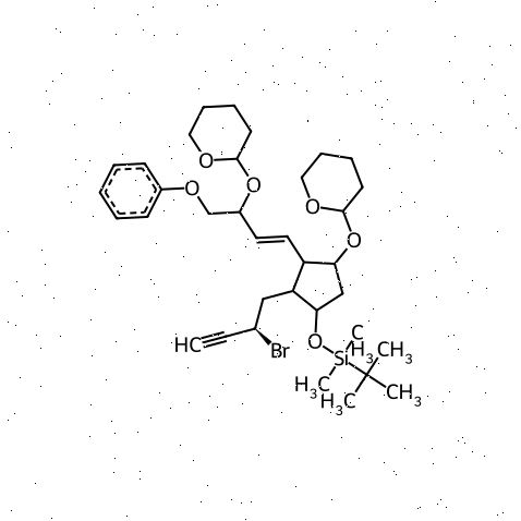 C#C[C@H](Br)CC1C(O[Si](C)(C)C(C)(C)C)CC(OC2CCCCO2)C1C=CC(COc1ccccc1)OC1CCCCO1